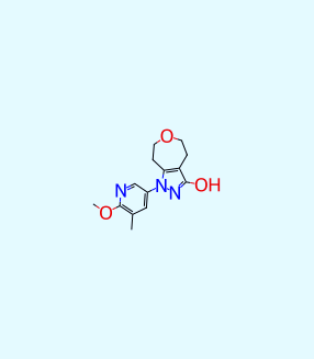 COc1ncc(-n2nc(O)c3c2CCOCC3)cc1C